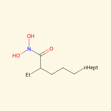 CCCCCCCCCCC(CC)C(=O)N(O)O